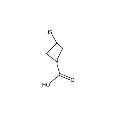 O=C(O)N1CC(S)C1